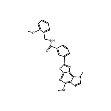 CNc1nc2sc(-c3cccc(C(=O)NCc4ccccc4OC)c3)nc2c2c1ncn2C